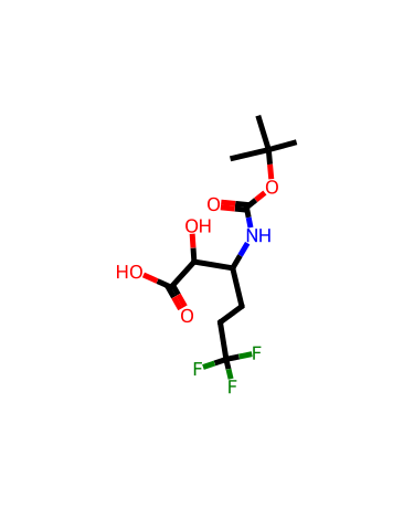 CC(C)(C)OC(=O)NC(CCC(F)(F)F)C(O)C(=O)O